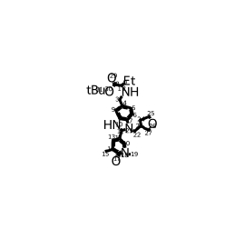 CCC(NCc1ccc2c(c1)NC(c1cc(C)c(=O)n(C)c1)N2CC1CCOC1)C(=O)OC(C)(C)C